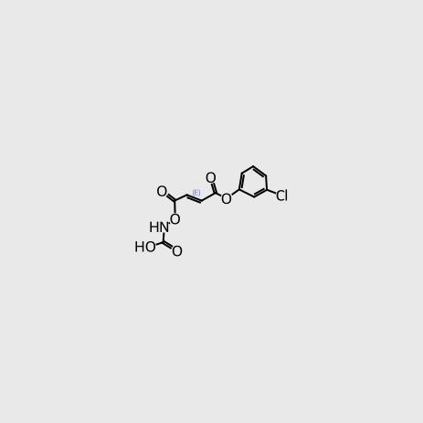 O=C(O)NOC(=O)/C=C/C(=O)Oc1cccc(Cl)c1